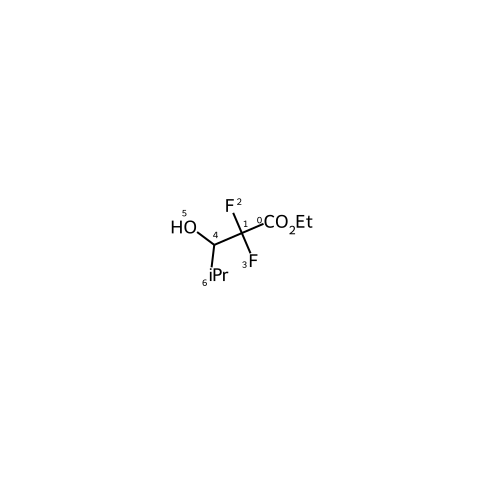 CCOC(=O)C(F)(F)C(O)C(C)C